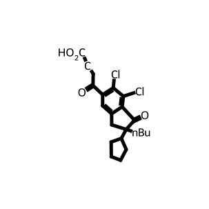 CCCCC1(C2CCCC2)Cc2cc(C(=O)CCC(=O)O)c(Cl)c(Cl)c2C1=O